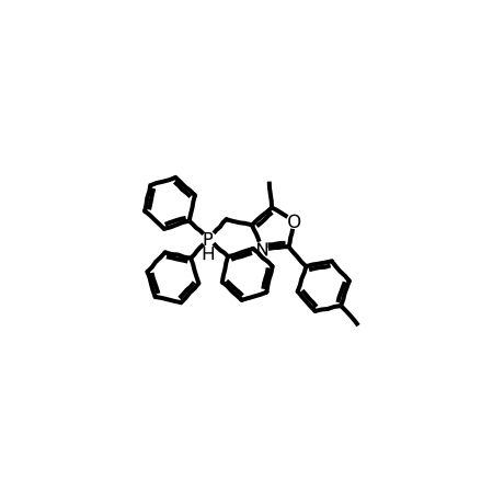 Cc1ccc(-c2nc(C[PH](c3ccccc3)(c3ccccc3)c3ccccc3)c(C)o2)cc1